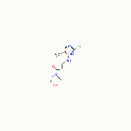 O=C(CCNc1nc(Cl)ncc1C(F)(F)F)N1CCOCC1